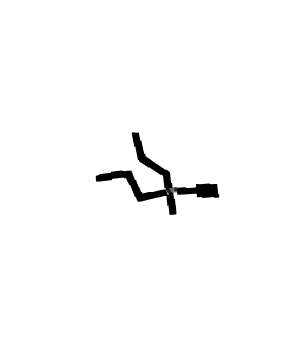 C#C[N+](C)(CCC)CCC